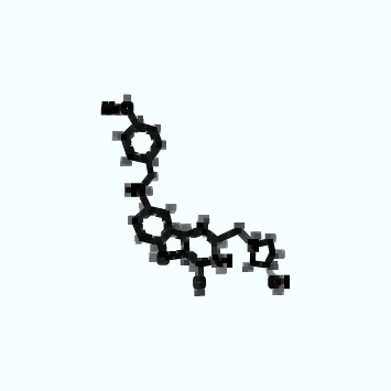 COc1ccc(CNc2ccc3oc4c(=O)[nH]c(CN5CC[C@H](O)C5)nc4c3c2)cc1